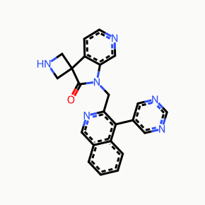 O=C1N(Cc2ncc3ccccc3c2-c2cncnc2)c2cnccc2C12CNC2